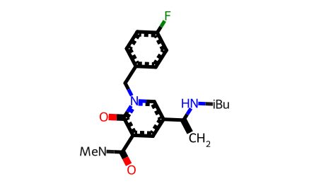 C=C(NC(C)CC)c1cc(C(=O)NC)c(=O)n(Cc2ccc(F)cc2)c1